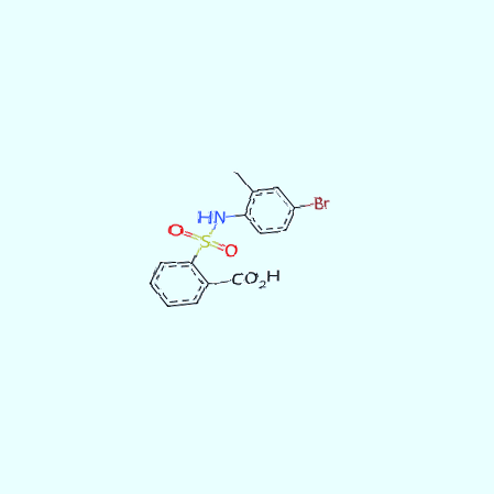 Cc1cc(Br)ccc1NS(=O)(=O)c1ccccc1C(=O)O